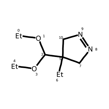 CCOC(OCC)C1(CC)CN=NC1